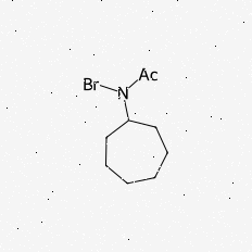 CC(=O)N(Br)C1CCCCCC1